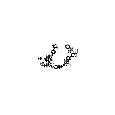 Cc1ncc(-c2ccc3nc(NCCN4CC5(CCN(CC(=O)N[C@H](C(=O)N6C[C@H](O)C[C@H]6C(=O)NCc6ccc(-c7scnc7C)cc6)C(C)(C)C)CC5)C4)sc3c2)cc1NC(=O)OC1CCCCC1